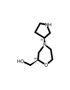 OC[C@H]1CN([C@H]2CCNC2)CCO1